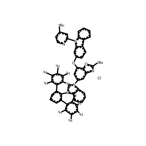 [2H]c1c([2H])c([2H])c(-c2cccc(-c3c([2H])c([2H])c([2H])c([2H])c3[2H])c2-[n+]2cn(-c3cc(Oc4ccc5c6ccccc6n(-c6cc(C(C)(C)C)ccn6)c5c4)c4oc(C(C)(C)C)nc4c3)c3ccccc32)c([2H])c1[2H].[Cl-]